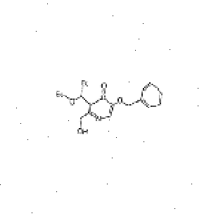 CCOC(CC)C1C(=O)C(OCc2ccccc2)=CN=C1CO